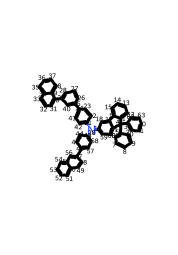 c1ccc(C2(c3ccccc3)c3ccccc3-c3cc(N(c4ccc(-c5cccc(-c6cccc7ccccc67)c5)cc4)c4ccc(-c5ccc6ccccc6c5)cc4)ccc32)cc1